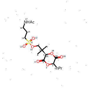 CCCC1OC(=O)[C@@H](C(C)(C)COS(=O)(=O)CCCNC(C)=O)OC1=O